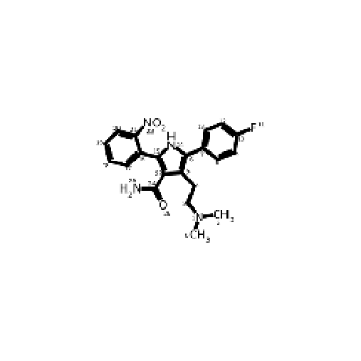 CN(C)CCc1c(-c2ccc(F)cc2)[nH]c(-c2ccccc2[N+](=O)[O-])c1C(N)=O